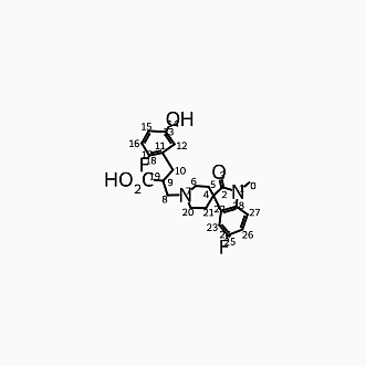 CN1C(=O)C2(CCN(CC(Cc3cc(O)ccc3F)C(=O)O)CC2)c2cc(F)ccc21